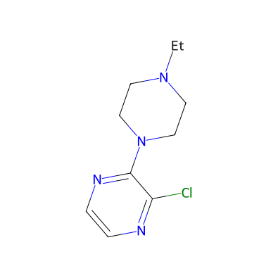 CCN1CCN(c2nccnc2Cl)CC1